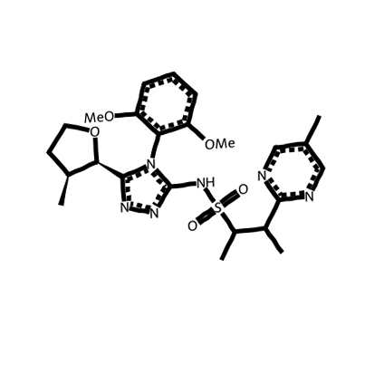 COc1cccc(OC)c1-n1c(NS(=O)(=O)C(C)C(C)c2ncc(C)cn2)nnc1[C@@H]1OCC[C@@H]1C